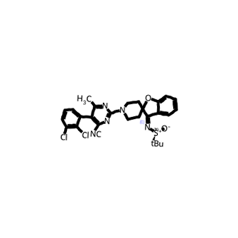 Cc1nc(N2CCC3(CC2)Oc2ccccc2/C3=N\[S@@+]([O-])C(C)(C)C)nc(C#N)c1-c1cccc(Cl)c1Cl